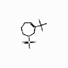 CC(C)(C)C1=CCCCN(S(C)(=O)=O)C1